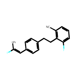 CCC/C(F)=C\c1ccc(CCc2c(F)cccc2C#N)cc1